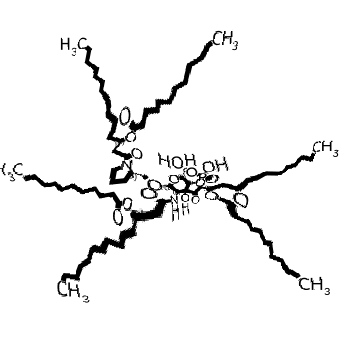 CCCCCCCCCCCC(=O)O[C@H](CCCCCCCCCCC)CC(=O)N[C@H]1[C@H](OC[C@@H]2CCCN2C(=O)C[C@@H](CCCCCCCCCCC)OC(=O)CCCCCCCCCCC)O[C@H](CO)[C@@H](OP(=O)(O)O)[C@@]1(O)C(=O)C[C@@H](CCCCCCCCCCC)OC(=O)CCCCCCCCCCC